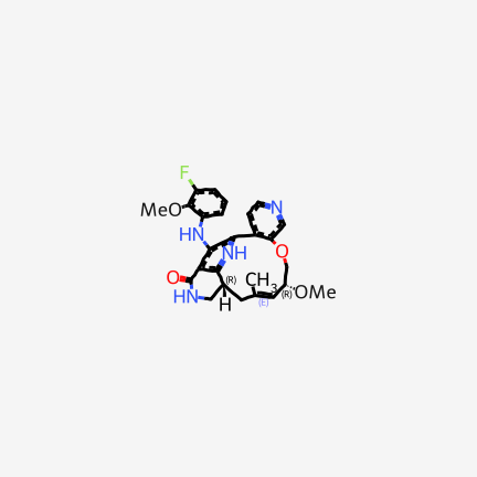 COc1c(F)cccc1Nc1c2[nH]c3c1C(=O)NC[C@H]3C/C(C)=C/[C@@H](OC)COc1cnccc1-2